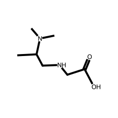 CC(CNCC(=O)O)N(C)C